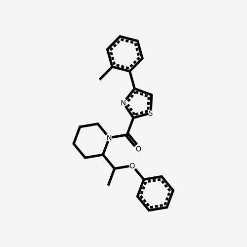 Cc1ccccc1-c1csc(C(=O)N2CCCCC2C(C)Oc2ccccc2)n1